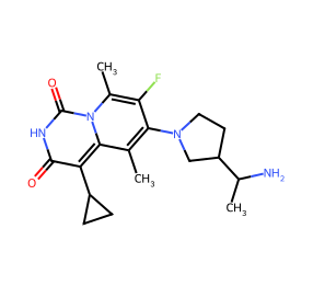 Cc1c(N2CCC(C(C)N)C2)c(F)c(C)n2c(=O)[nH]c(=O)c(C3CC3)c12